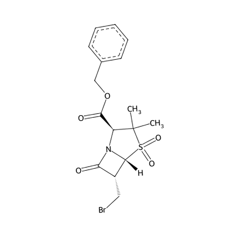 CC1(C)[C@H](C(=O)OCc2ccccc2)N2C(=O)[C@@H](CBr)[C@H]2S1(=O)=O